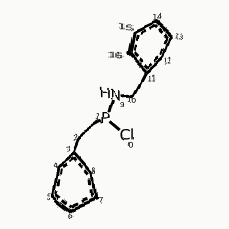 ClP(Cc1ccccc1)NCc1ccccc1